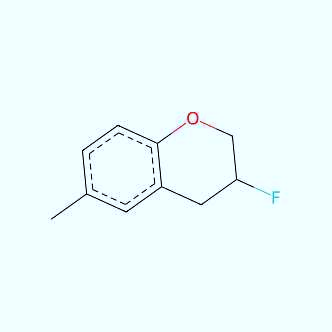 Cc1ccc2c(c1)CC(F)CO2